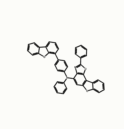 c1ccc(-c2nc3c(N(c4ccccc4)c4ccc(-c5cccc6c5oc5ccccc56)cc4)cc4oc5ccccc5c4c3o2)cc1